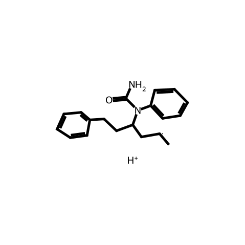 C[CH]CC(CCc1ccccc1)N(C(N)=O)c1ccccc1.[H+]